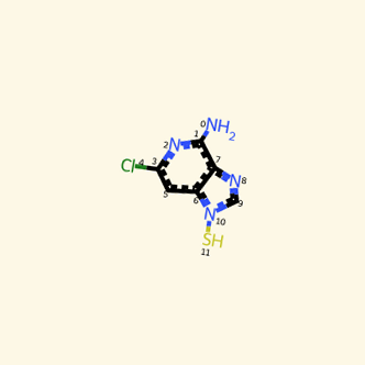 Nc1nc(Cl)cc2c1ncn2S